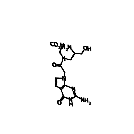 Nc1nc2c(ccn2CC(=O)N(CC(=O)O)CC(N)CO)c(=O)[nH]1